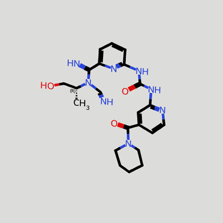 C[C@H](CO)N(C=N)C(=N)c1cccc(NC(=O)Nc2cc(C(=O)N3CCCCC3)ccn2)n1